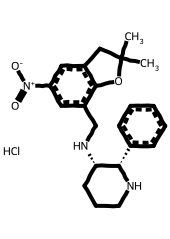 CC1(C)Cc2cc([N+](=O)[O-])cc(CN[C@H]3CCCN[C@H]3c3ccccc3)c2O1.Cl